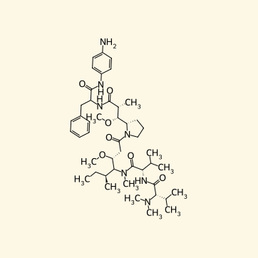 CC[C@H](C)C([C@@H](CC(=O)N1CCC[C@H]1[C@H](OC)[C@@H](C)C(=O)NC(Cc1ccccc1)C(=O)Nc1ccc(N)cc1)OC)N(C)C(=O)[C@@H](NC(=O)[C@H](C(C)C)N(C)C)C(C)C